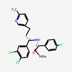 CNC(=O)[C@H](N[C@@H](CCc1ccc(C(F)(F)F)nc1)c1ccc(Cl)c(Cl)c1)c1ccc(F)cc1